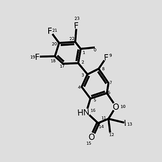 Cc1c(-c2cc3c(cc2F)OC(C)(I)C(=O)N3)cc(F)c(F)c1F